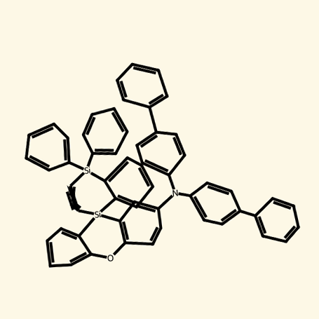 c1ccc(-c2ccc(N(c3ccc(-c4ccccc4)cc3)c3ccc4c(c3)[Si]3(c5ccccc5O4)c4ccccc4[Si](c4ccccc4)(c4ccccc4)c4ccccc43)cc2)cc1